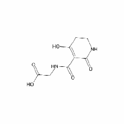 O=C(O)CNC(=O)C1=C(O)CCNC1=O